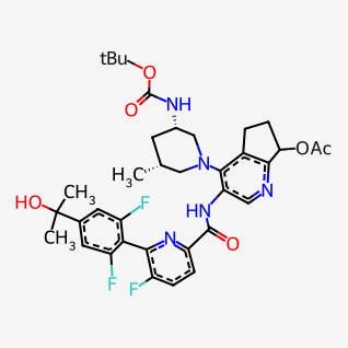 CC(=O)OC1CCc2c1ncc(NC(=O)c1ccc(F)c(-c3c(F)cc(C(C)(C)O)cc3F)n1)c2N1C[C@H](C)C[C@H](NC(=O)OC(C)(C)C)C1